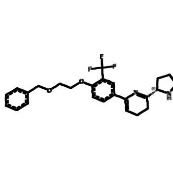 FC(F)(F)c1cc(C2=CCCC([C@@H]3CCCN3)=N2)ccc1OCCOCc1ccccc1